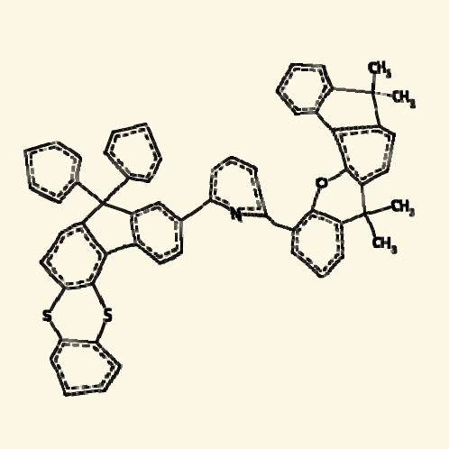 CC1(C)c2cccc(-c3cccc(-c4ccc5c(c4)C(c4ccccc4)(c4ccccc4)c4ccc6c(c4-5)Sc4ccccc4S6)n3)c2Oc2c1ccc1c2-c2ccccc2C1(C)C